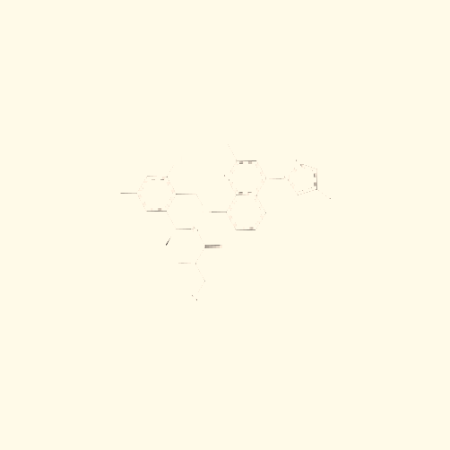 Cc1cc(-n2cc(F)cn2)c2cccc(OCc3c(Cl)cc(F)cc3[C@H](C)NC(=O)C(O)CN)c2n1